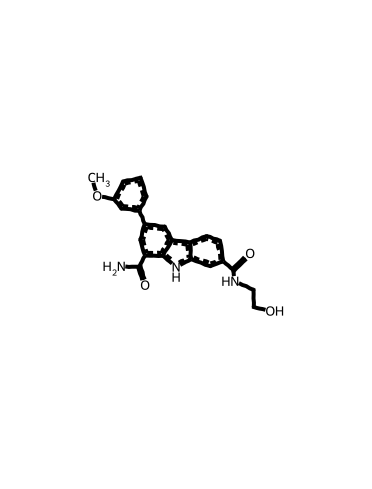 COc1cccc(-c2cc(C(N)=O)c3[nH]c4cc(C(=O)NCCO)ccc4c3c2)c1